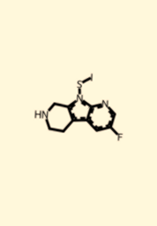 Fc1cnc2c(c1)c1c(n2SI)CNCC1